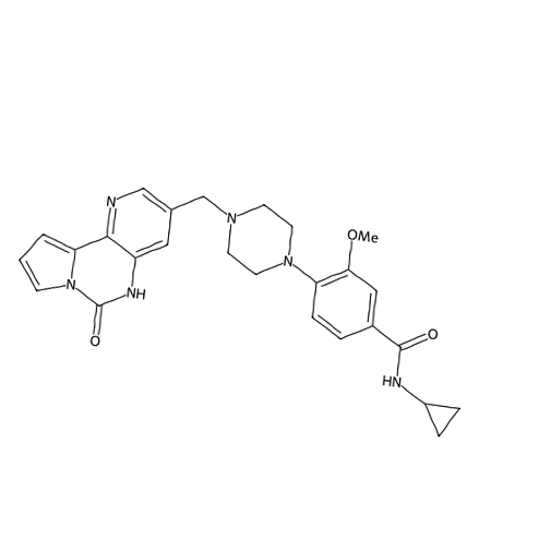 COc1cc(C(=O)NC2CC2)ccc1N1CCN(Cc2cnc3c(c2)[nH]c(=O)n2cccc32)CC1